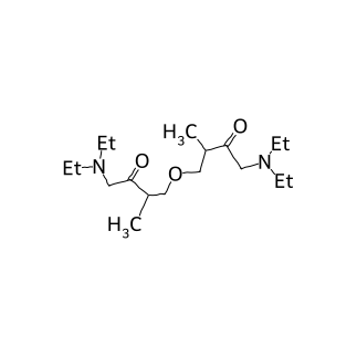 CCN(CC)CC(=O)C(C)COCC(C)C(=O)CN(CC)CC